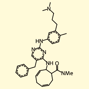 CNC(=O)C1C/C=C\C/C=C\C1Nc1nc(Nc2ccc(C)c(CCCN(C)C)c2)ncc1Cc1ccccc1